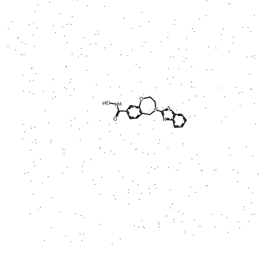 O=C(NO)c1ccc2c(c1)OCCN(c1nc3ccccc3s1)C2